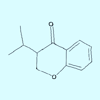 CC(C)C1COc2ccccc2C1=O